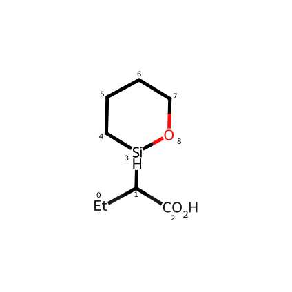 CCC(C(=O)O)[SiH]1CCCCO1